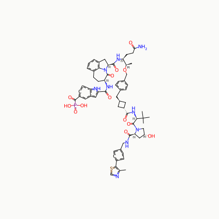 Cc1ncsc1-c1ccc(CNC(=O)[C@@H]2C[C@@H](O)CN2C(=O)[C@@H](NC(=O)[C@H]2C[C@H](Cc3ccc(CO[C@H](C)[C@H](CCC(N)=O)NC(=O)[C@@H]4Cc5cccc6c5N4C(=O)[C@@H](NC(=O)c4cc5cc(C(=O)P(=O)(O)O)ccc5[nH]4)CC6)cc3)C2)C(C)(C)C)cc1